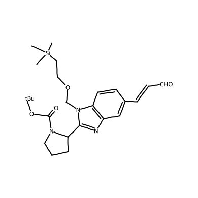 CC(C)(C)OC(=O)N1CCCC1c1nc2cc(/C=C/C=O)ccc2n1COCC[Si](C)(C)C